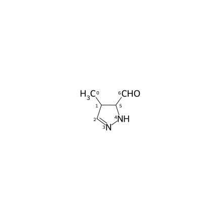 CC1C=NNC1C=O